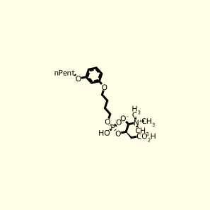 CCCCCOc1cccc(OCCCCOP(=O)(O)O[C@H](CC(=O)O)C([O-])[N+](C)(C)C)c1